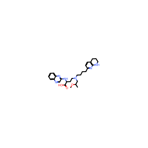 COC(C)CN(CCCCc1ccc2c(n1)NCCC2)CCC(Nc1cnc2ccccc2n1)C(=O)O